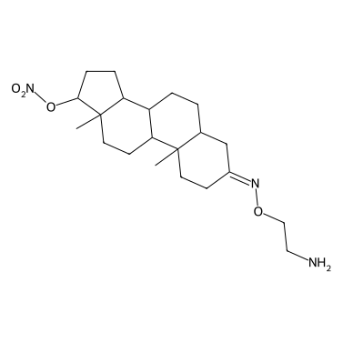 CC12CCC(=NOCCN)CC1CCC1C2CCC2(C)C(O[N+](=O)[O-])CCC12